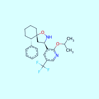 CC(C)Oc1ncc(C(F)(F)F)cc1[C@H]1C[C@@]2(CCCC[C@H]2c2ccccc2)ON1